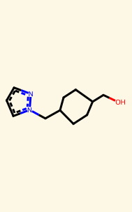 OCC1CCC(Cn2cccn2)CC1